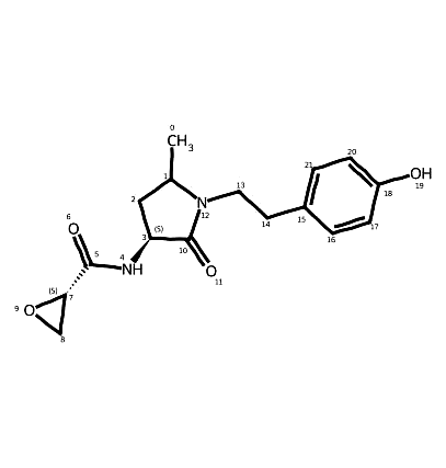 CC1C[C@H](NC(=O)[C@@H]2CO2)C(=O)N1CCc1ccc(O)cc1